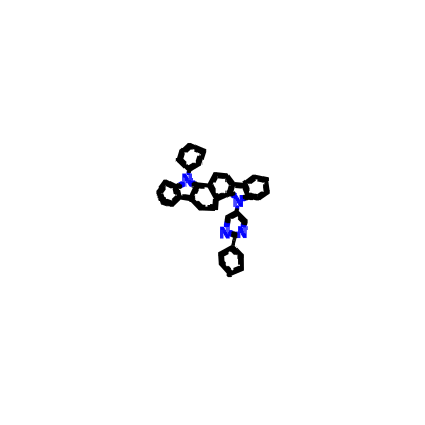 c1ccc(-c2ncc(-n3c4ccccc4c4ccc5c(ccc6c7ccccc7n(-c7ccccc7)c65)c43)cn2)cc1